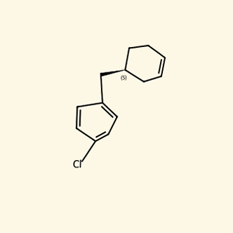 Clc1ccc(C[C@@H]2CC=CCC2)cc1